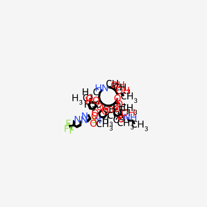 CCCNC[C@]1(O)[C@H](C)OC(O[C@H]2[C@H](C)[C@@H](O[C@@H]3O[C@H](C)C[C@H](N(C)S(=O)(=O)c4cnn(-c5ccc(C(F)(F)F)cn5)c4)[C@H]3Oc3ccc(OC)cc3)[C@](C)(O)C[C@@H](C)CN[C@H](C)[C@@H](O)[C@](C)(O)[C@@H](CC)OC(=O)[C@@H]2C)C[C@@]1(C)OC